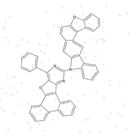 c1ccc(-c2nc(-n3c4ccccc4c4cc5c(ccc6oc7ccccc7c65)cc43)nc3c2oc2c4ccccc4c4ccccc4c32)cc1